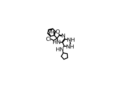 COC1=NC2=C(NC1(CCl)c1ccccc1)C(NC1CCCC1)NCN2